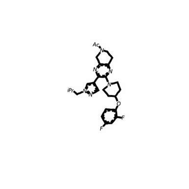 CC(=O)N1CCc2nc(N3CCC(Oc4ccc(F)cc4F)CC3)c(-c3cnn(CC(C)C)c3)nc2C1